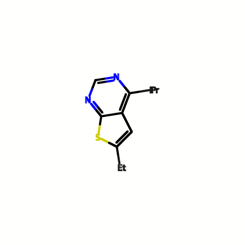 CCc1cc2c(C(C)C)ncnc2s1